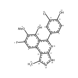 COc1c(F)cc2c(c(-c3ccc(O)c(Cl)c3)nc3[nH]nc(C)c32)c1O